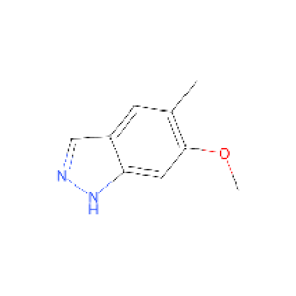 COc1cc2[nH]ncc2cc1C